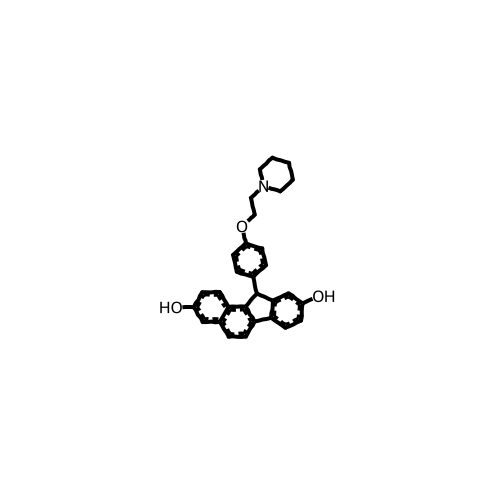 Oc1ccc2c(c1)C(c1ccc(OCCN3CCCCC3)cc1)c1c-2ccc2cc(O)ccc12